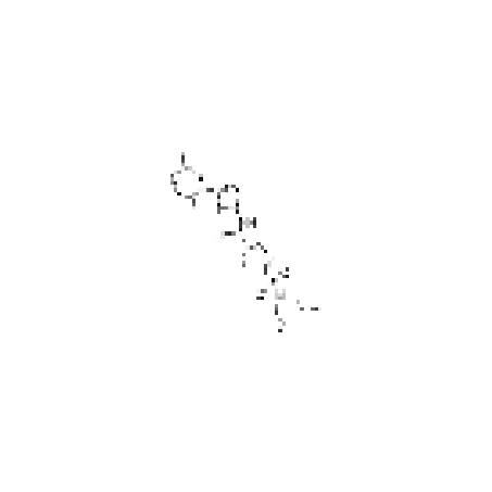 CCCN(CCC)S(=O)(=O)c1ccc(C(=O)Nc2nc(-c3cc(C)ccc3C)cs2)cc1